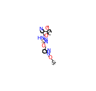 COc1ccccc1-c1cnccc1C(=O)Nc1nnc(OCc2cccc3c2ncn3COCC[Si](C)(C)C)s1